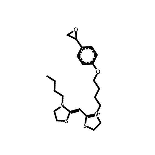 CCCCN1CCSC1=CC1=[N+](CCCCOc2ccc(C3CO3)cc2)CCS1